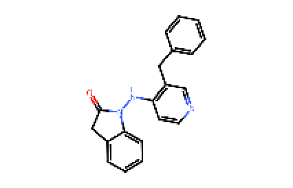 O=C1Cc2ccccc2N1Nc1ccncc1Cc1ccccc1